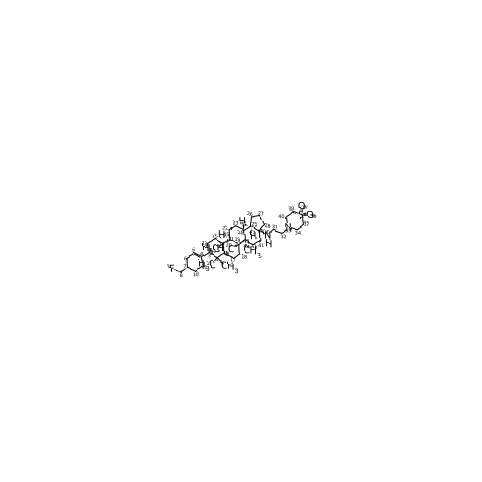 CC1(C)C(C2=CC[C@H](CF)CC2)=CC[C@@]2(C)C1CC[C@]1(C)[C@@H]2CC[C@@H]2[C@H]3CCC[C@]3(NCCN3CCS(=O)(=O)CC3)CC[C@]21C